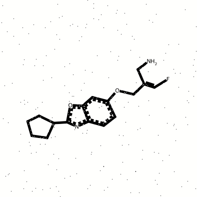 NC/C(=C\F)COc1ccc2nc(C3CCCC3)oc2c1